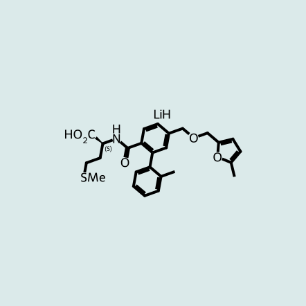 CSCC[C@H](NC(=O)c1ccc(COCc2ccc(C)o2)cc1-c1ccccc1C)C(=O)O.[LiH]